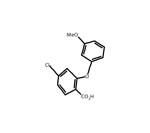 COc1cccc(Oc2cc(Cl)ccc2C(=O)O)c1